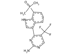 CP(C)(=O)c1cccc2c(-c3nc(N)ncc3C(F)(F)F)c[nH]c12